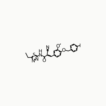 CCc1nnc(NC(=O)/C(C#N)=C/c2ccc(OCc3ccc(I)cc3)c(OC)c2)s1